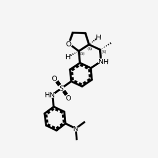 C[C@@H]1Nc2ccc(S(=O)(=O)Nc3cccc(N(C)C)c3)cc2[C@H]2OCC[C@@H]12